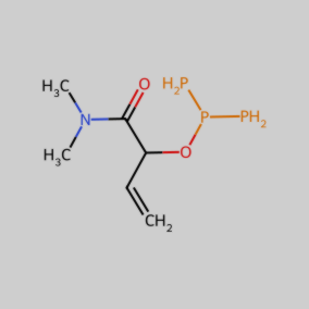 C=CC(OP(P)P)C(=O)N(C)C